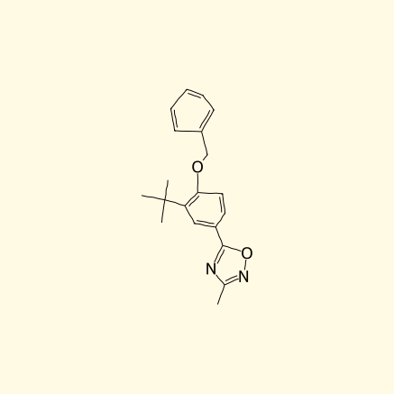 Cc1noc(-c2ccc(OCc3ccccc3)c(C(C)(C)C)c2)n1